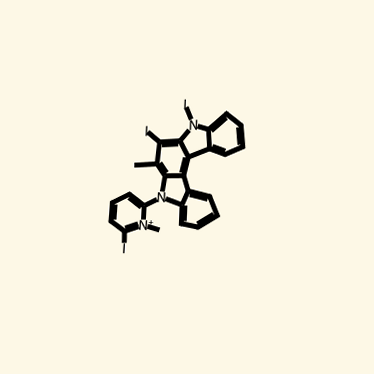 Cc1c(I)c2c(c3ccccc3n2I)c2c3ccccc3n(-c3cccc(I)[n+]3C)c12